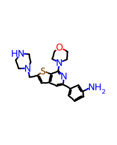 Nc1cccc(-c2cc3cc(CN4CCNCC4)sc3c(N3CCOCC3)n2)c1